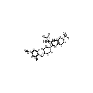 CC(=O)N1CCc2nc(N3CCC(Oc4ccc(C#N)cc4F)CC3)c(NC(C)C)nc2C1